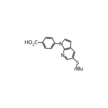 CCCCSc1cnc2c(ccn2-c2ccc(C(=O)O)cc2)c1